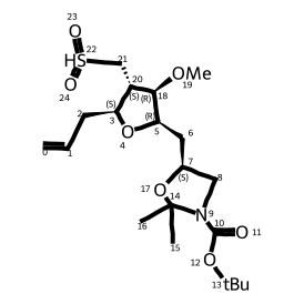 C=CC[C@@H]1O[C@H](C[C@H]2CN(C(=O)OC(C)(C)C)C(C)(C)O2)[C@H](OC)[C@H]1C[SH](=O)=O